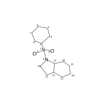 Cl[Si](Cl)(C1CCCCC1)N1CCC2CCCCC21